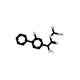 CCC(OC(C)=O)OC(=O)C(C)c1ccc(-c2ccccc2)c(F)c1